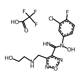 N=C(c1nonc1CNCCO)N(O)c1ccc(F)c(Cl)c1.O=C(O)C(F)(F)F